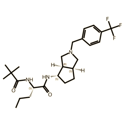 CCC[C@H](NC(=O)C(C)(C)C)C(=O)N[C@H]1CC[C@@H]2CN(Cc3ccc(C(F)(F)F)cc3)C[C@@H]21